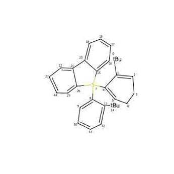 CC(C)(C)C1=CCCC=C1S1(c2ccccc2C(C)(C)C)c2ccccc2-c2ccccc21